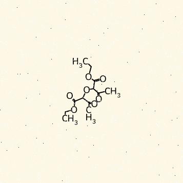 CCOC(=O)C(OC(C(C)=O)C(=O)OCC)C(C)=O